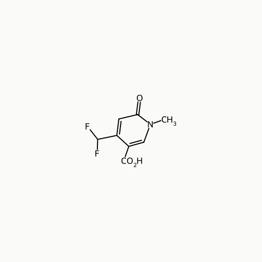 Cn1cc(C(=O)O)c(C(F)F)cc1=O